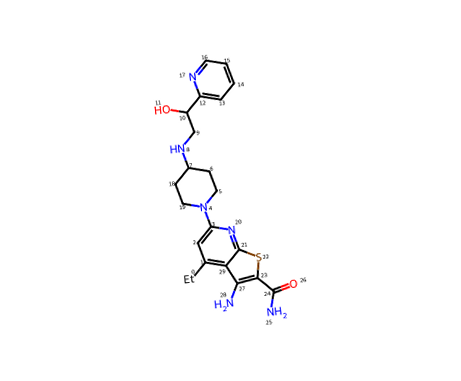 CCc1cc(N2CCC(NCC(O)c3ccccn3)CC2)nc2sc(C(N)=O)c(N)c12